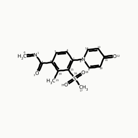 C=NC(=O)c1ccc(-n2ccc(=O)cc2)c(S(C)(=O)=O)c1C